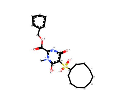 Cn1c(C(=O)OCc2ccccc2)nc(=O)c(S(=O)(=O)C2CCCCCCCCC2)c1O